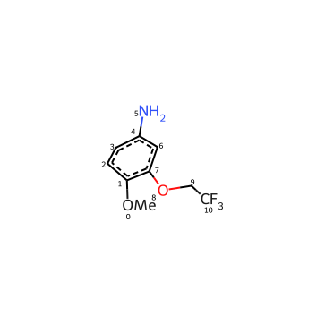 COc1ccc(N)cc1OCC(F)(F)F